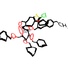 CCc1ccc(Cc2c(Cl)sc3cc4c(cc23)[C@]2(OC4)O[C@H](COCc3ccccc3)[C@@H](OCc3ccccc3)[C@H](OCc3ccccc3)[C@H]2OCc2ccccc2)cc1